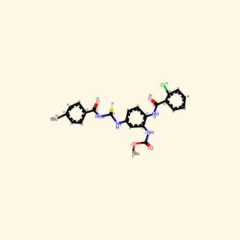 CC(C)(C)OC(=O)Nc1cc(NC(=S)NC(=O)c2ccc(C(C)(C)C)cc2)ccc1NC(=O)c1ccccc1Cl